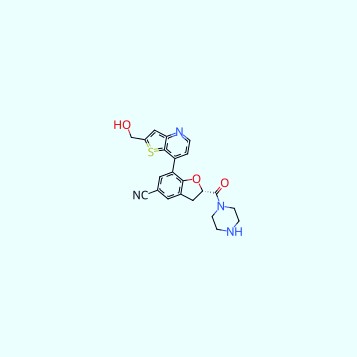 N#Cc1cc2c(c(-c3ccnc4cc(CO)sc34)c1)O[C@H](C(=O)N1CCNCC1)C2